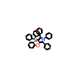 c1ccc(-c2c3c(c(-c4ccccc4)n2-c2ccccc2)[Si](c2ccccc2)(c2ccccc2)c2ccccc2O3)cc1